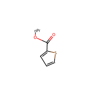 CCCOC(=O)c1cc[c]s1